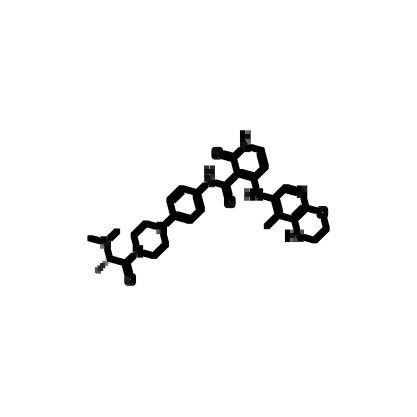 Cc1c(Nc2cc[nH]c(=O)c2C(=O)Nc2ccc(N3CCN(C(=O)[C@H](C)N(C)C)CC3)cc2)cnc2c1NCCO2